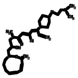 C=C/C(=C\C(=C\C(=O)N(C)CC(O)CN1CCC/C=C\C=C/C(=C)C1)CC)N1CCC(OCCN(C)C)CC1